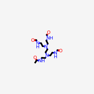 CC(=O)NCCN(CCNC=O)CCN(CCNC=O)CCNC=O